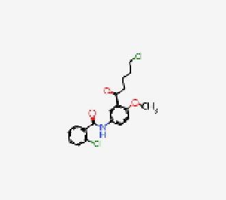 COc1ccc(NC(=O)c2ccccc2Cl)cc1C(=O)CCCCCl